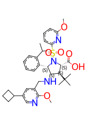 COc1cccc(S(=O)(=O)N2[C@H](C(=O)O)[C@@H](C(C)(C)C)[C@H](NCc3cc(C4CCC4)cnc3OC)[C@@H]2c2ccccc2C(C)C)n1